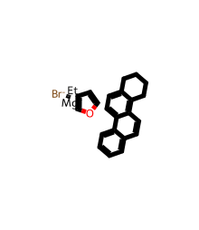 C[CH2][Mg+].[Br-].c1ccc2c(c1)ccc1c3c(ccc12)CCCC3.c1ccoc1